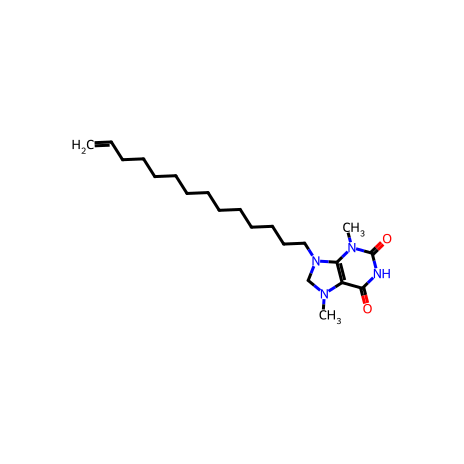 C=CCCCCCCCCCCCCN1CN(C)c2c1n(C)c(=O)[nH]c2=O